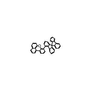 c1ccc2c(c1)-c1ccccc1C21c2ccccc2-c2c(-c3cccc4c3Oc3cccc5cccc-4c35)cccc21